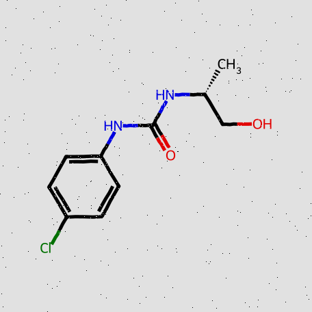 C[C@H](CO)NC(=O)Nc1ccc(Cl)cc1